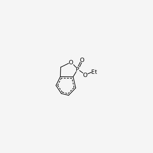 CCOP1(=O)OCc2ccccc21